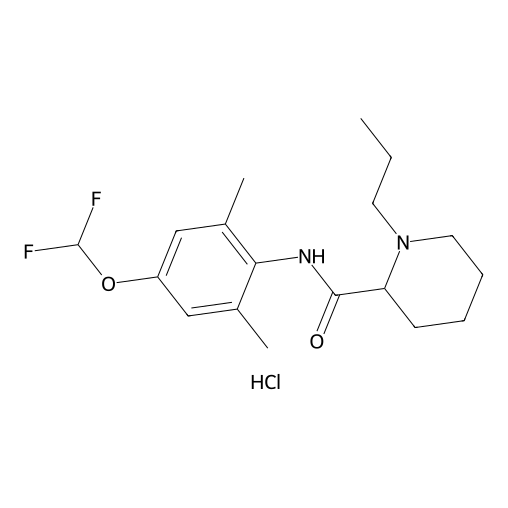 CCCN1CCCCC1C(=O)Nc1c(C)cc(OC(F)F)cc1C.Cl